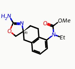 CCN(C(=O)OC)c1cccc2c1CC[C@]1(COC(N)=N1)C2